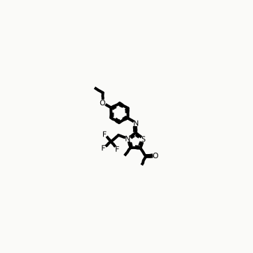 CCOc1ccc(N=c2sc(C(C)=O)c(C)n2CC(F)(F)F)cc1